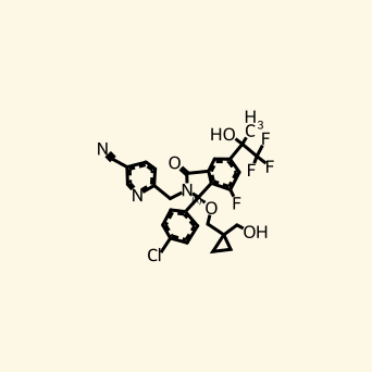 CC(O)(c1cc(F)c2c(c1)C(=O)N(Cc1ccc(C#N)cn1)[C@@]2(OCC1(CO)CC1)c1ccc(Cl)cc1)C(F)(F)F